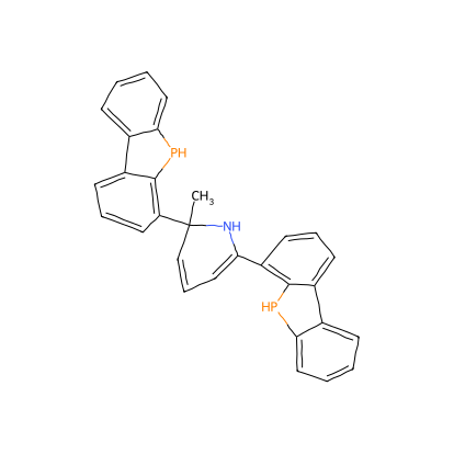 CC1(c2cccc3c2[pH]c2ccccc23)C=CC=C(c2cccc3c2[pH]c2ccccc23)N1